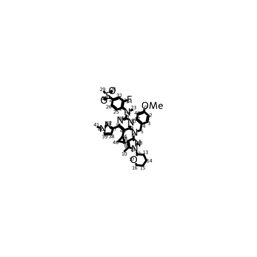 COc1ccc(CN(c2cc(C)n(C3CCCCO3)n2)c2nc(N(C)c3ccc(S(C)(=O)=O)cc3F)nc(-c3ccn(C)n3)c2C2CC2)cc1